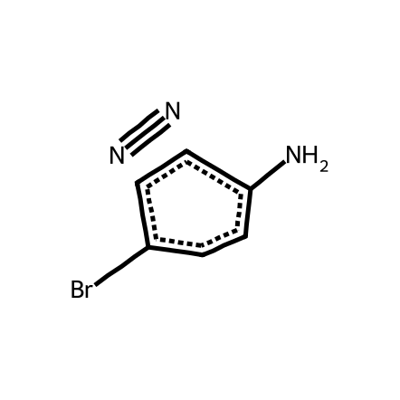 N#N.Nc1ccc(Br)cc1